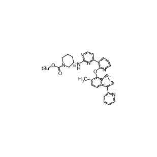 Cc1ccc2c(-c3ccccn3)cccc2c1Oc1ncccc1-c1ccnc(N[C@H]2CCCN(C(=O)OC(C)(C)C)C2)n1